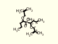 C=C(C)COC(CCC)P(=O)(O)C(CCC)OCC(=C)C